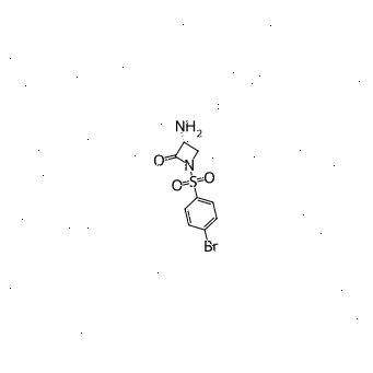 N[C@@H]1CN(S(=O)(=O)c2ccc(Br)cc2)C1=O